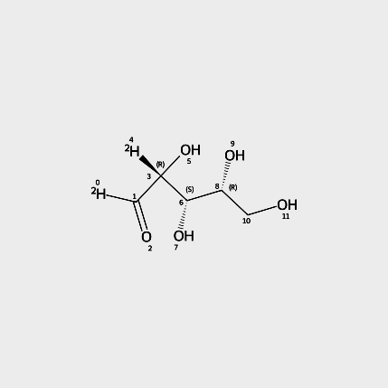 [2H]C(=O)[C@]([2H])(O)[C@@H](O)[C@H](O)CO